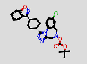 CC(C)(C)OC(=O)ON1Cc2cc(Cl)ccc2-n2c(nnc2[C@H]2CC[C@H](c3noc4ccccc43)CC2)C1